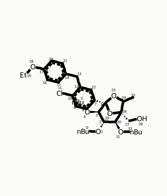 CCCCO[C@@H]1[C@@H](OCCCC)[C@@]2(c3ccc(Cl)c(Cc4ccc(OCC)cc4)c3)OC(C)[C@](CO)(O2)[C@H]1OCCCC